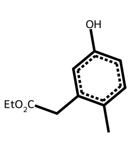 CCOC(=O)Cc1cc(O)ccc1C